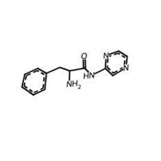 NC(Cc1ccccc1)C(=O)Nc1cnccn1